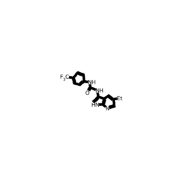 CCc1cnc2[nH]cc(NC(=O)Nc3ccc(C(F)(F)F)cc3)c2c1